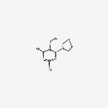 OCc1c(N2CCCC2)cc(Cl)nc1Cl